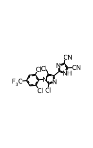 N#Cc1nc(-c2nc(Cl)n(-c3c(Cl)cc(C(F)(F)F)cc3Cl)c2Cl)[nH]c1C#N